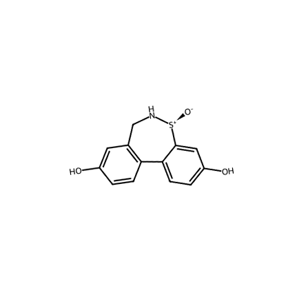 [O-][S@+]1NCc2cc(O)ccc2-c2ccc(O)cc21